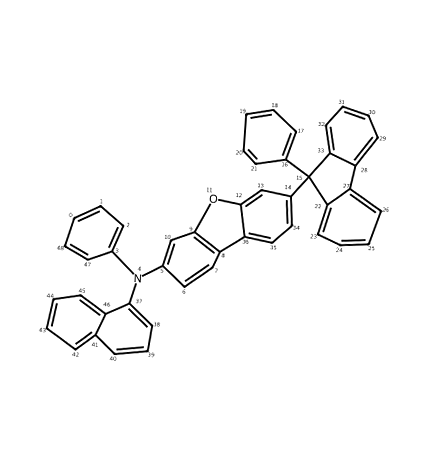 c1ccc(N(c2ccc3c(c2)oc2cc(C4(c5ccccc5)c5ccccc5-c5ccccc54)ccc23)c2cccc3ccccc23)cc1